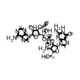 Nc1nc2c(ncn2[C@@H]2O[C@H](CO)[C@@H](N)[C@H]2OP(=O)(O)OC[C@H]2O[C@@H](n3cnc4c(N)ncnc43)[C@H](O)[C@@H]2O[PH](=O)O)c(=O)[nH]1